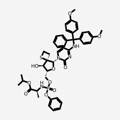 COc1ccc(C(Nc2ccn([C@@H]3O[C@H](COP(=O)(N[C@@H](C)C(=O)OC(C)C)Oc4ccccc4)[C@@H](O)[C@]34CCS4)c(=O)n2)(c2ccccc2)c2ccc(OC)cc2)cc1